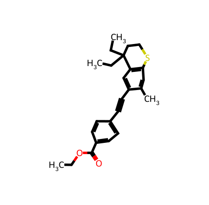 CCOC(=O)c1ccc(C#Cc2cc3c(cc2C)SCCC3(CC)CC)cc1